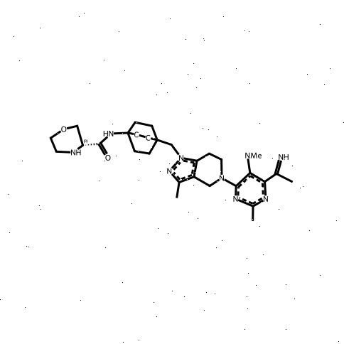 CNc1c(C(C)=N)nc(C)nc1N1CCc2c(c(C)nn2CC23CCC(NC(=O)[C@H]4COCCN4)(CC2)CC3)C1